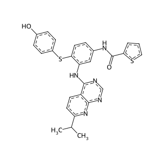 CC(C)c1ccc2c(Nc3cc(NC(=O)c4cccs4)ccc3Sc3ccc(O)cc3)ncnc2n1